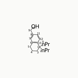 CCCC1(CCC)CCCc2cc(CO)ccc21